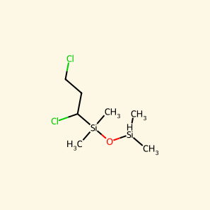 C[SiH](C)O[Si](C)(C)C(Cl)CCCl